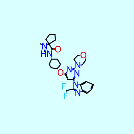 CN(C)C1(C(=O)N[C@H]2CC[C@H](Oc3cc(-n4c(C(F)F)nc5ccccc54)nc(N4CCOCC4)n3)CC2)CCCC1